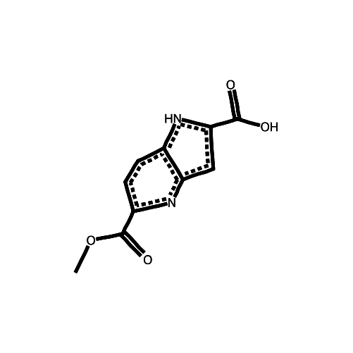 COC(=O)c1ccc2[nH]c(C(=O)O)cc2n1